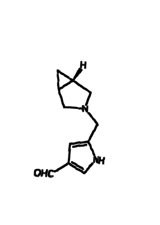 O=Cc1c[nH]c(CN2CC3C[C@@H]3C2)c1